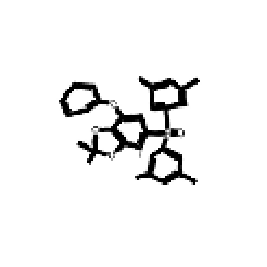 Cc1cc(C)cc(P(=O)(c2cc(C)cc(C)c2)c2cc(Oc3ccccc3)c3c(c2I)OC(C)(C)O3)c1